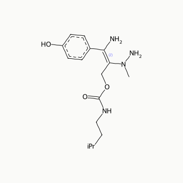 CC(C)CCNC(=O)OC/C(=C(/N)c1ccc(O)cc1)N(C)N